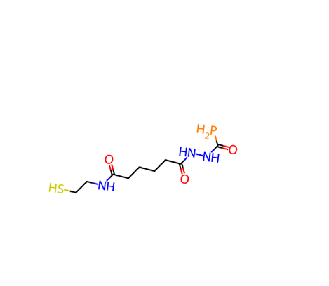 O=C(P)NNC(=O)CCCCC(=O)NCCS